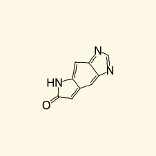 O=C1C=c2cc3c(cc2N1)=NC=N3